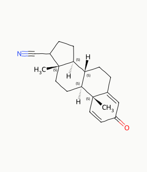 C[C@]12C=CC(=O)C=C1CC[C@@H]1[C@@H]2CC[C@]2(C)C(C#N)CC[C@@H]12